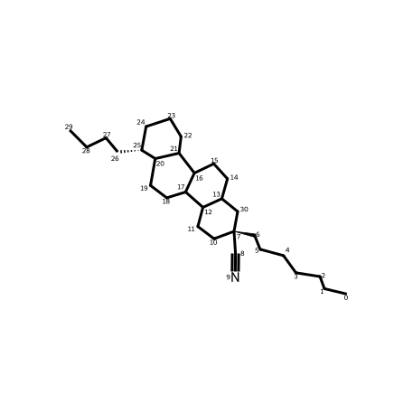 CCCCCCC[C@@]1(C#N)CCC2C(CCC3C2CCC2C3CCC[C@H]2CCCC)C1